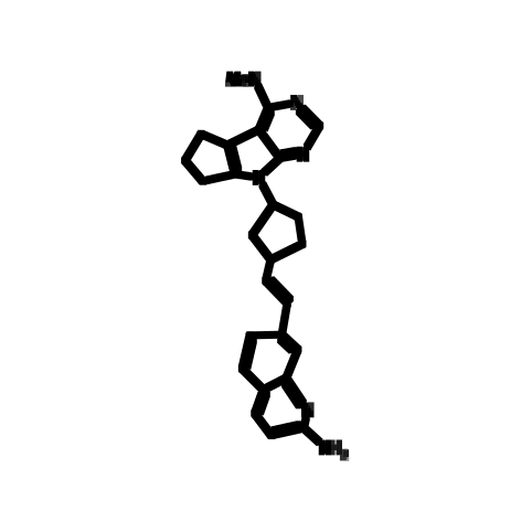 CNc1ncnc2c1c1c(n2C2CCC(/C=C/c3ccc4ccc(N)nc4c3)C2)CCC1